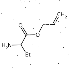 C=CCOC(=O)C(N)CC